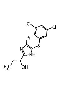 CC(C)c1nc(C(O)CC(F)(F)F)[nH]c1Sc1cc(Cl)cc(Cl)c1